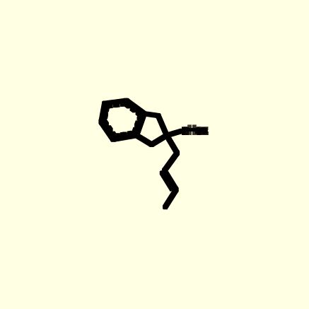 C/C=C/CC1(CCCCCC)Cc2ccccc2C1